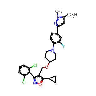 Cn1nc(-c2ccc(N3CCC(OCc4c(-c5c(Cl)cccc5Cl)noc4C4CC4)CC3)c(F)c2)cc1C(=O)O